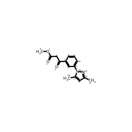 COC(=O)CC(=O)c1cccc(-n2nc(C)cc2C)c1